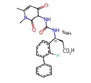 CC1=CC(=O)C(NC(=O)N[C@@H](CC(=O)O)c2cccc(-c3ccccc3)c2F)C(=O)N1C.[NaH]